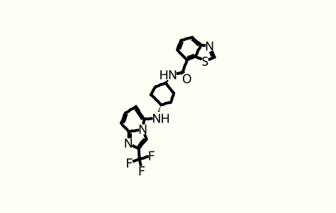 O=C(N[C@H]1CC[C@@H](Nc2cccc3nc(C(F)(F)F)cn23)CC1)c1cccc2ncsc12